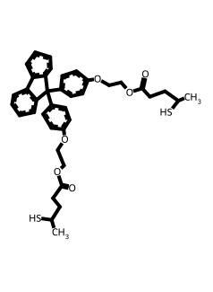 CC(S)CCC(=O)OCCOc1ccc(C2(c3ccc(OCCOC(=O)CCC(C)S)cc3)c3ccccc3-c3ccccc32)cc1